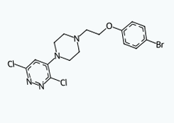 Clc1cc(N2CCN(CCOc3ccc(Br)cc3)CC2)c(Cl)nn1